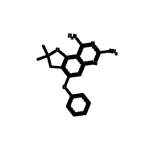 CC1(C)Cc2c(Oc3ccccc3)cc3nc(N)nc(N)c3c2O1